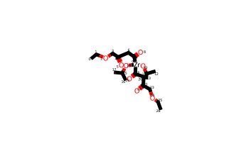 CCOCC(=O)C[C](=O)[Zr]([O]C(C)C)([O]C(C)C)[C](=O)CC(=O)COCC